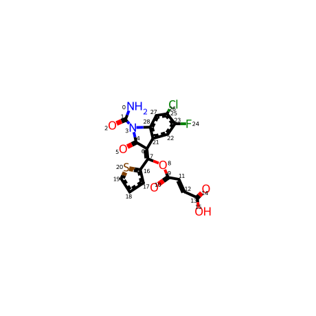 NC(=O)N1C(=O)C(=C(OC(=O)C=CC(=O)O)c2cccs2)c2cc(F)c(Cl)cc21